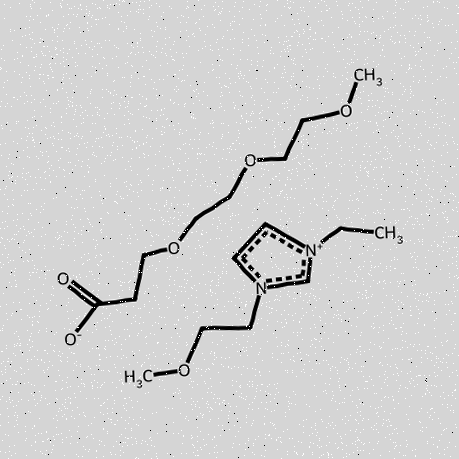 CC[n+]1ccn(CCOC)c1.COCCOCCOCCC(=O)[O-]